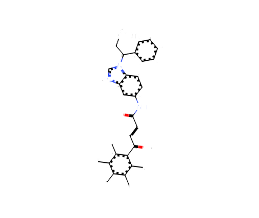 Cc1c(C)c(C)c(C(=O)C=CC(=O)Nc2ccc3c(c2)ncn3C(CC(=O)O)c2ccccc2)c(C)c1C